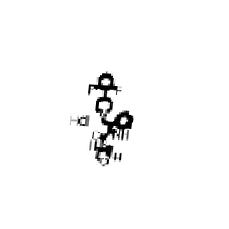 Cl.O=C(c1[nH]c2ccccc2c1CN1CCC(c2c(F)cccc2F)CC1)N1C[C@@H]2C[C@H]1CO2